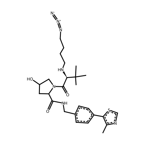 Cc1ncsc1-c1ccc(CNC(=O)C2CC(O)CN2C(=O)[C@@H](NCCCCN=[N+]=[N-])C(C)(C)C)cc1